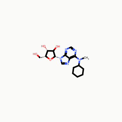 CN(c1ncnc2c1ncn2[C@@H]1O[C@H](CO)[C@H](O)C1O)C1CCCCC1